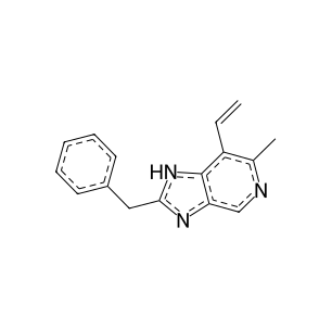 C=Cc1c(C)ncc2nc(Cc3ccccc3)[nH]c12